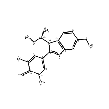 Cc1cc(-c2nc3cc(CO)ccc3n2[C@H](C)CO)cn(C)c1=O